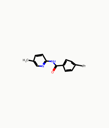 Cc1ccc(NC(=O)c2ccc(C(C)C)cc2)nc1